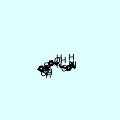 Cc1n[nH]c2cc(OCCNC[C@H](O)c3cccc(NS(=O)(=O)c4ccccc4O)c3)ccc12